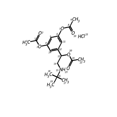 CC(=O)Oc1cc(OC(C)=O)cc(C(CNC(C)(C)C)OC(C)=O)c1.Cl